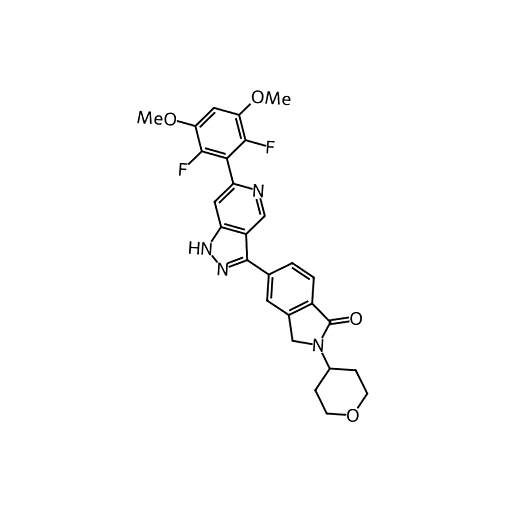 COc1cc(OC)c(F)c(-c2cc3[nH]nc(-c4ccc5c(c4)CN(C4CCOCC4)C5=O)c3cn2)c1F